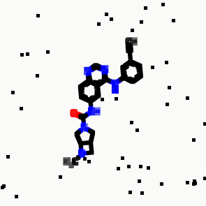 C#Cc1cccc(Nc2ncnc3ccc(NC(=O)N4CC5CN(C)C5C4)cc23)c1